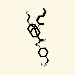 C=C(/C=C\C=C/C)[C@]12CC3CC(C(=O)N[C@H]4CC[C@H](CN)CC4)(C[C@](CCF)(C3)C1)C2